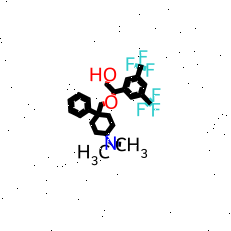 CN(C)C1CCC(COC(CO)c2cc(C(F)(F)F)cc(C(F)(F)F)c2)(c2ccccc2)CC1